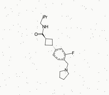 CC(C)CNC(=O)[C@H]1C[C@H](c2ccc(CN3CCCC3)c(F)c2)C1